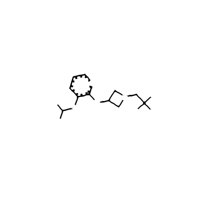 CC(C)Nc1cccnc1OC1CN(CC(F)(F)F)C1